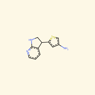 Nc1csc(C2CNc3ncccc32)c1